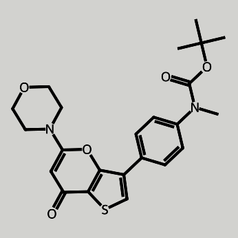 CN(C(=O)OC(C)(C)C)c1ccc(-c2csc3c(=O)cc(N4CCOCC4)oc23)cc1